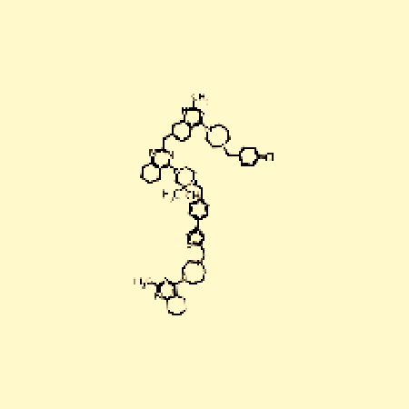 Cc1nc2c(c(N3CCCN(Cc4cc(-c5ccc(CN6CCN(c7nc(CC8CCc9c(nc(C)nc9N9CCCN(Cc%10ccc(Cl)cc%10)CC9)C8)nc8c7CCCC8)CC6(C)C)cc5)cs4)CC3)n1)CCCC2